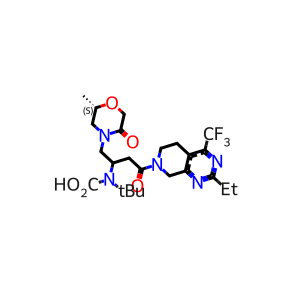 CCc1nc2c(c(C(F)(F)F)n1)CCN(C(=O)CC(CN1C[C@H](C)OCC1=O)N(C(=O)O)C(C)(C)C)C2